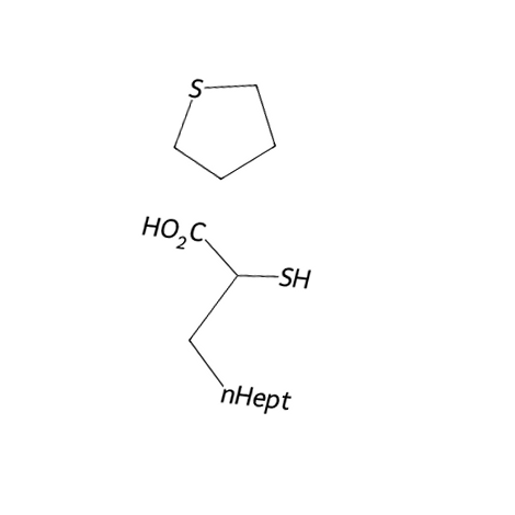 C1CCSC1.CCCCCCCCC(S)C(=O)O